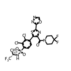 C[C@H](NS(=O)(=O)c1ccc(-c2sc(-c3nnco3)nc2C(=O)N2CCC(F)(F)CC2)c(Cl)c1Cl)C(F)(F)F